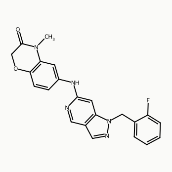 CN1C(=O)COc2ccc(Nc3cc4c(cn3)cnn4Cc3ccccc3F)cc21